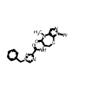 CC(C)n1ncc2c1OC[C@H](NC(=O)c1ncn(Cc3ccccc3)n1)C(=O)N2C